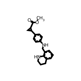 COC(=O)C1CC1c1ccc(NCc2cccc3c2NCCC3)cc1